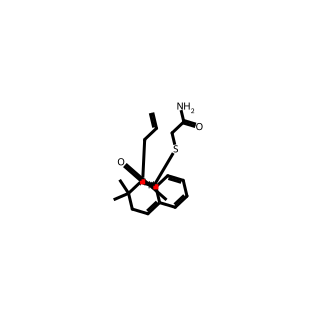 C=CCN1C(=O)C2C(C)(C)CC=C3C=CC=CC32N=C1SCC(N)=O